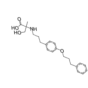 CC(CO)(NCCCc1ccc(OCCCc2ccccc2)cc1)C(=O)O